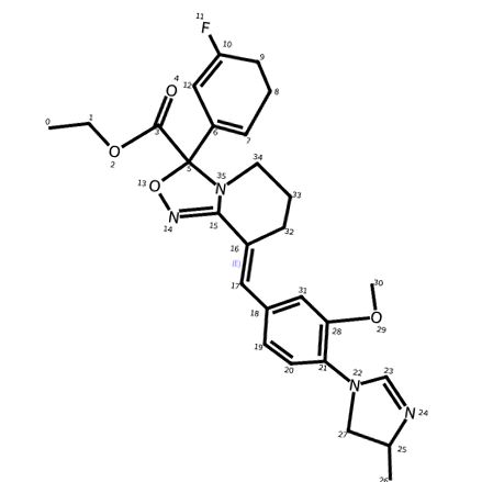 CCOC(=O)C1(C2=CCCC(F)=C2)ON=C2/C(=C/c3ccc(N4C=NC(C)C4)c(OC)c3)CCCN21